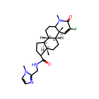 CN1C(=O)C(F)=C[C@@]2(C)C1CC[C@@H]1[C@H]2CC[C@]2(C)C(C(=O)NCc3nccn3C)CC[C@@H]12